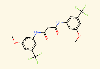 COc1cc(NC(=O)CC(=O)Nc2cc(OC)cc(C(F)(F)F)c2)cc(C(F)(F)F)c1